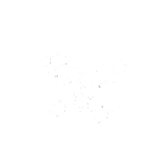 CC1(C)c2ccccc2-c2cc3c4cc5c(cc4n(-c4nc(-c6ccccc6)nc(-c6ccccc6)n4)c3cc21)C(C)(C)c1ccccc1-5